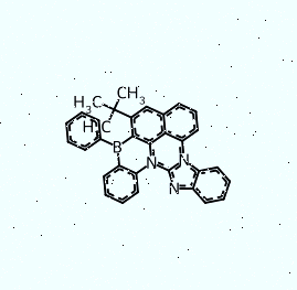 CC(C)(C)c1cc2cccc3c2c2c1B(c1ccccc1)c1ccccc1-n2c1nc2ccccc2n31